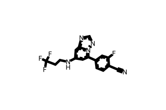 N#Cc1ccc(-c2cc(NCCC(F)(F)F)cc3ncnn23)cc1F